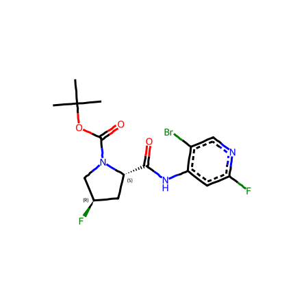 CC(C)(C)OC(=O)N1C[C@H](F)C[C@H]1C(=O)Nc1cc(F)ncc1Br